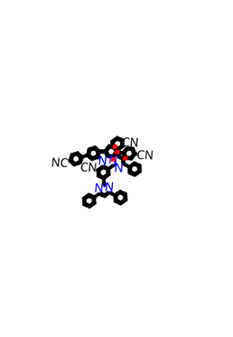 N#Cc1ccc(-c2ccc3c4ccc(-c5ccc(C#N)cc5C#N)cc4n(-c4ccc(-c5nc(-c6ccccc6)cc(-c6ccccc6)n5)cc4-c4nc(-c5ccccc5)cc(-c5ccccc5)n4)c3c2)c(C#N)c1